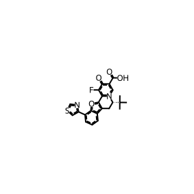 CC(C)(C)[C@@H]1Cc2c(oc3c(-c4cscn4)cccc23)-c2c(F)c(=O)c(C(=O)O)cn21